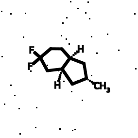 C[C@H]1C[C@@H]2CCC(F)(F)C[C@@H]2C1